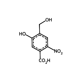 O=C(O)c1cc(O)c(CO)cc1[N+](=O)[O-]